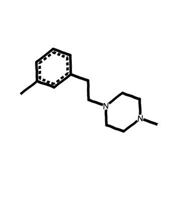 Cc1cccc(CCN2CCN(C)CC2)c1